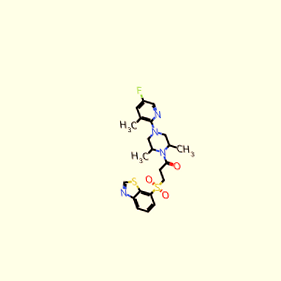 Cc1cc(F)cnc1N1CC(C)N(C(=O)CCS(=O)(=O)c2cccc3ncsc23)C(C)C1